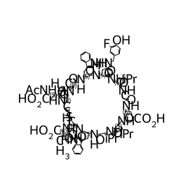 CC(=O)N[C@@H](CC(=O)O)C(=O)N[C@H]1CSSC[C@@H](C(=O)N[C@H](C(=O)O)[C@@H](C)O)NC(=O)[C@H](Cc2c[nH]c3ccccc23)NC(=O)C(C(C)C)NC(=O)[C@H](CC(C)C)NC(=O)[C@H](CCC(=O)O)NC(=O)CNC(=O)[C@H](CC(C)C)NC(=O)[C@H](CC(=O)NCc2ccc(O)c(F)c2)NC(=O)[C@H](Cc2c[nH]c3ccccc23)NC(=O)[C@H](C)NC1=O